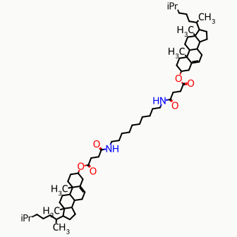 CC(C)CCCC(C)C1CCC2C3CC=C4CC(OC(=O)CCC(=O)NCCCCCCCCCCNC(=O)CCC(=O)OC5CCC6(C)C(=CCC7C6CCC6(C)C(C(C)CCCC(C)C)CCC76)C5)CCC4(C)C3CCC12C